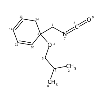 CC(C)COC1(CN=C=O)C=CC=CC1